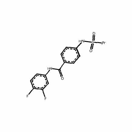 CC(C)S(=O)(=O)Nc1ccc(C(=O)Nc2ccc(F)c(F)c2)cc1